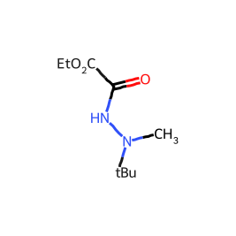 CCOC(=O)C(=O)NN(C)C(C)(C)C